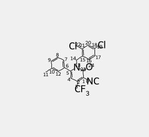 [C-]#[N+]c1c(C(F)(F)F)cc(-c2cccc(C)c2)n(Cc2ccc(Cl)cc2Cl)c1=O